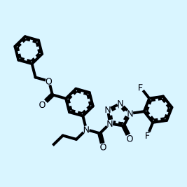 CCCN(C(=O)n1nnn(-c2c(F)cccc2F)c1=O)c1cccc(C(=O)OCc2ccccc2)c1